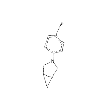 Fc1ccc(N2CC3CC3C2)cc1